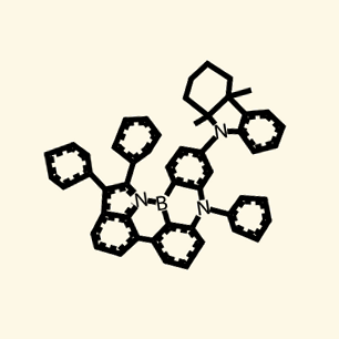 CC12CCCCC1(C)N(c1ccc3c(c1)N(c1ccccc1)c1cccc4c1B3n1c(-c3ccccc3)c(-c3ccccc3)c3cccc-4c31)c1ccccc12